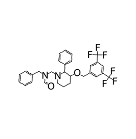 O=CN(Cc1ccccc1)CN1CCCC(OCc2cc(C(F)(F)F)cc(C(F)(F)F)c2)C1c1ccccc1